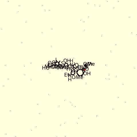 CCN[C@H]1CO[C@@H](O[C@H]2[C@H](O[C@H]3C#C/C=C\C#C[C@]4(O)CC(=O)C(NC(=O)OC)=C3/C4=C\CSSC(C)C)O[C@H](C)[C@@H](NO[C@H]3C[C@H](O)[C@H](SC(=O)c4c(C)c(I)c(O[C@@H]5O[C@@H](C)[C@H](O)C[C@]5(O)COC)c(OC)c4OC)[C@@H](C)O3)[C@@H]2O)C[C@@H]1OC